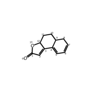 O=C1C=C2C3=CC=CCC3CCC2O1